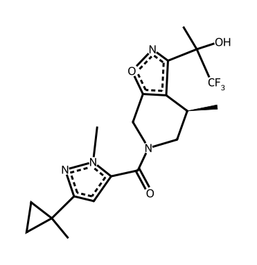 C[C@H]1CN(C(=O)c2cc(C3(C)CC3)nn2C)Cc2onc(C(C)(O)C(F)(F)F)c21